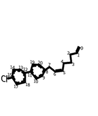 C=CCCC/C=C\Cc1ccc(-c2ccc(Cl)cc2)cc1